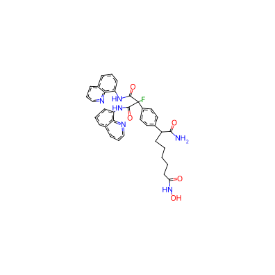 NC(=O)C(CCCCCC(=O)NO)c1ccc(C(F)(C(=O)Nc2cccc3cccnc23)C(=O)Nc2cccc3cccnc23)cc1